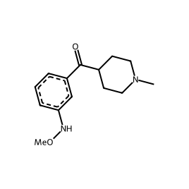 CONc1cccc(C(=O)C2CCN(C)CC2)c1